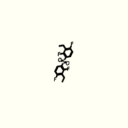 CCc1c(F)ccc(S(=O)(=O)c2ccc(F)c(CC)c2F)c1F